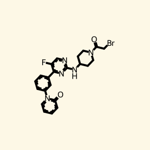 O=C(CBr)N1CCC(Nc2ncc(F)c(-c3cccc(-n4ccccc4=O)c3)n2)CC1